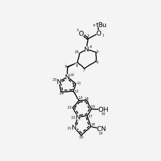 CC(C)(C)OC(=O)N1CCC[C@@H](Cn2cc(-c3cc(O)c4c(C#N)cnn4c3)cn2)C1